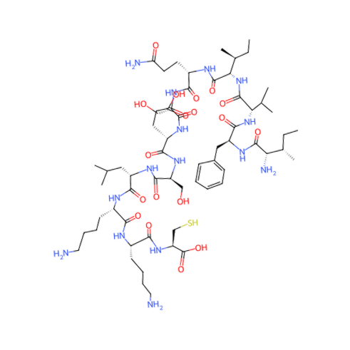 CC[C@H](C)[C@H](N)C(=O)N[C@@H](Cc1ccccc1)C(=O)N[C@H](C(=O)N[C@H](C(=O)N[C@@H](CCC(N)=O)C(=O)N[C@@H](CO)C(=O)N[C@@H](CCC(=O)O)C(=O)N[C@@H](CO)C(=O)N[C@@H](CC(C)C)C(=O)N[C@@H](CCCCN)C(=O)N[C@@H](CCCCN)C(=O)N[C@@H](CS)C(=O)O)[C@@H](C)CC)C(C)C